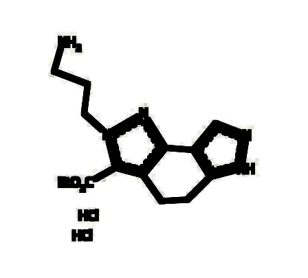 CCOC(=O)c1c2c(nn1CCCN)-c1cn[nH]c1CC2.Cl.Cl